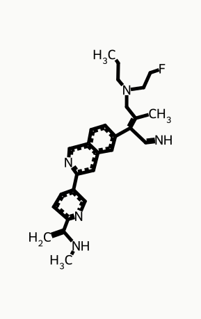 C=C(NC)c1ccc(-c2cc3cc(/C(C=N)=C(/C)CN(CCC)CCF)ccc3cn2)cn1